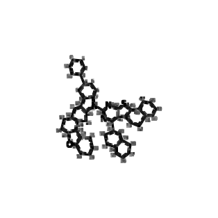 c1ccc(-c2ccc3c(c2)c2cc4ccc5oc6ccccc6c5c4cc2n3-c2nc(-c3ccc4ccccc4c3)c3c(n2)sc2c4ccccc4ccc23)cc1